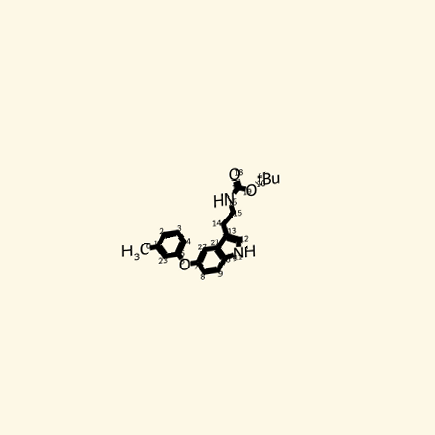 Cc1cccc(Oc2ccc3[nH]cc(CCNC(=O)OC(C)(C)C)c3c2)c1